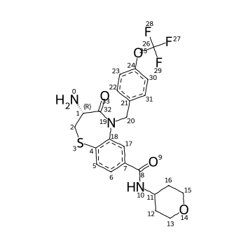 N[C@H]1CSc2ccc(C(=O)NC3CCOCC3)cc2N(Cc2ccc(OC(F)(F)F)cc2)C1=O